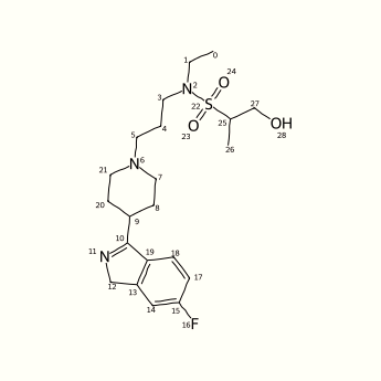 CCN(CCCN1CCC(C2=NCc3cc(F)ccc32)CC1)S(=O)(=O)C(C)CO